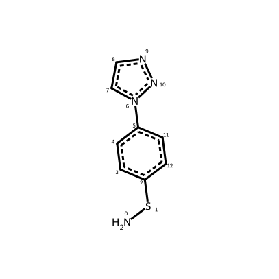 NSc1ccc(-n2ccnn2)cc1